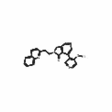 COc1ccncc1-c1cccc2c1C(=O)N(CCc1ccc3ccccc3n1)C2